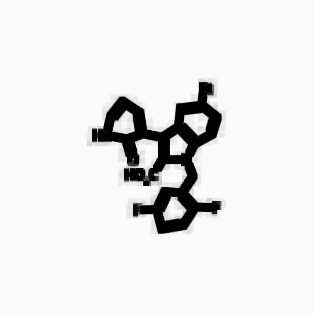 CCc1ccc2c(c1)c(-c1ccc[nH]c1=O)c(C(=O)O)n2Cc1cc(F)ccc1F